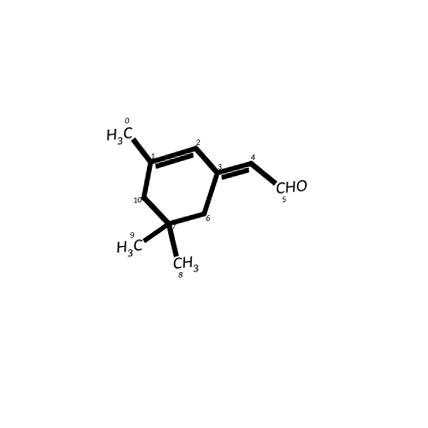 CC1=CC(=CC=O)CC(C)(C)C1